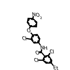 CCc1cc(Cl)c(C(=O)Nc2ccc(Oc3ccc([N+](=O)[O-])cc3)c(Cl)c2)c(Cl)c1